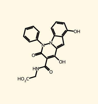 O=C(O)CNC(=O)c1c(O)c2cc3c(O)cccc3n2n(-c2ccccc2)c1=O